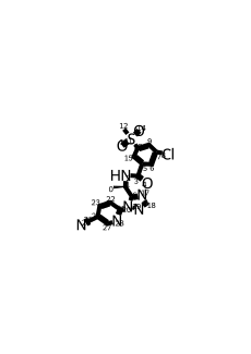 C[C@@H](NC(=O)c1cc(Cl)cc(S(C)(=O)=O)c1)c1ncnn1-c1ccc(C#N)cn1